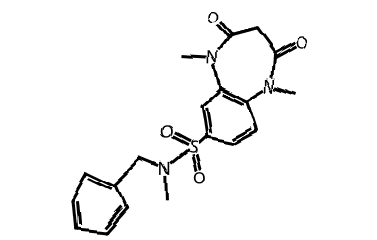 CN1C(=O)CC(=O)N(C)c2cc(S(=O)(=O)N(C)Cc3ccccc3)ccc21